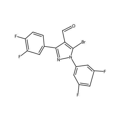 O=Cc1c(-c2ccc(F)c(F)c2)nn(-c2cc(F)cc(F)c2)c1Br